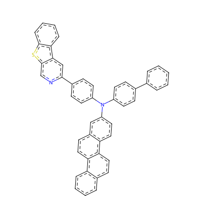 c1ccc(-c2ccc(N(c3ccc(-c4cc5c(cn4)sc4ccccc45)cc3)c3ccc4c(ccc5c6ccccc6ccc45)c3)cc2)cc1